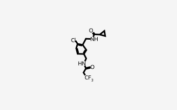 O=C(CC(F)(F)F)NCc1ccc(Cl)c(CNC(=O)C2CC2)c1